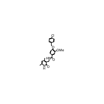 COc1cc(C(=O)NCc2c(C)cc(C)[nH]c2=O)ccc1OCc1ccc(Cl)cc1